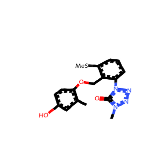 CSc1cccc(-n2nnn(C)c2=O)c1COc1ccc(O)cc1C